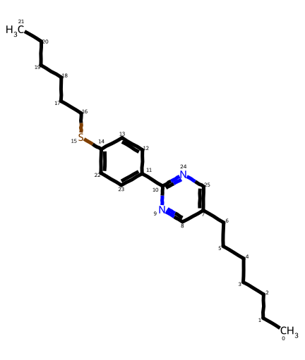 CCCCCCCc1cnc(-c2ccc(SCCCCCC)cc2)nc1